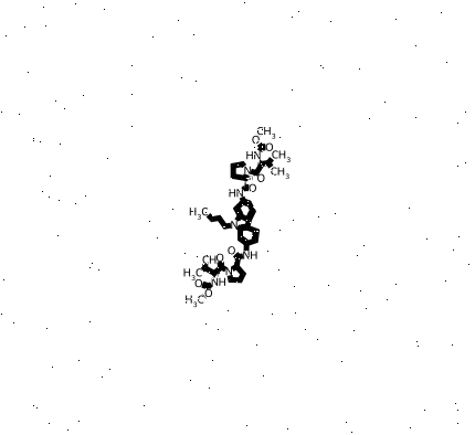 CCCCn1c2cc(NC(=O)C3CCCN3C(=O)[C@H](NC(=O)OC)C(C)C)ccc2c2ccc(NC(=O)[C@@H]3CCCN3C(=O)[C@H](NC(=O)OC)C(C)C)cc21